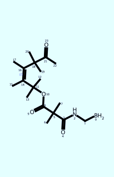 BCNC(=O)C(C)(C)C(=O)OC(C)(C)/C(C)=C(/C)C(C)(C)C(C)=O